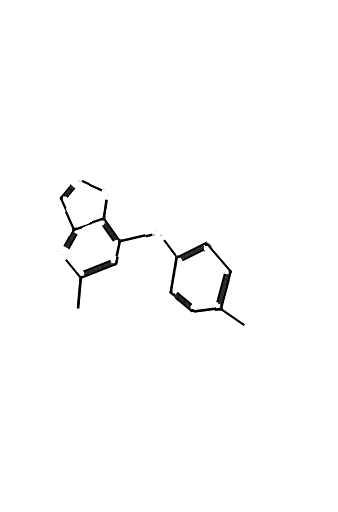 CCOC(=O)c1ccc(Nc2cc(C)nc3cn[nH]c23)cc1